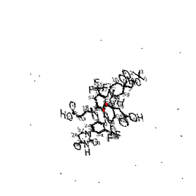 CC(C)(C)OC(=O)CC1(O)CCN(c2ccc(N(CCC(=O)O)c3cc(N4CCC(=O)NC4=O)cc(C(F)(F)F)c3N3CCC(O)(CC(=O)O)CC3)cc2C(F)(F)F)CC1